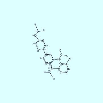 Cc1cccc2c1N(C(C)C)c1cc(-c3ccc(OC(C)C)cc3)ccc1N2C(C)C